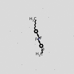 CCCCCCCc1ccc(C#C/C(F)=C(\F)C#Cc2ccc(OCCC)cc2)cc1